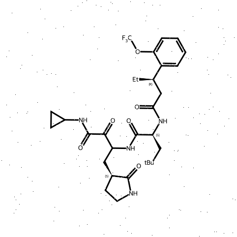 CC[C@H](CC(=O)N[C@@H](CC(C)(C)C)C(=O)NC(C[C@@H]1CCNC1=O)C(=O)C(=O)NC1CC1)c1ccccc1OC(F)(F)F